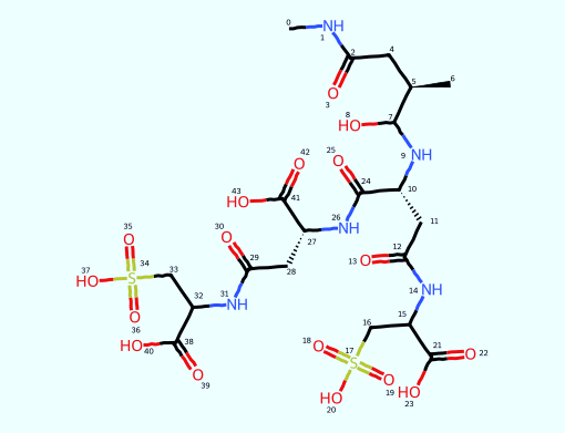 CNC(=O)C[C@@H](C)C(O)N[C@H](CC(=O)NC(CS(=O)(=O)O)C(=O)O)C(=O)N[C@H](CC(=O)NC(CS(=O)(=O)O)C(=O)O)C(=O)O